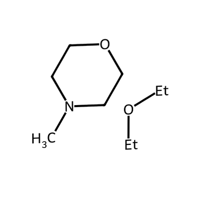 CCOCC.CN1CCOCC1